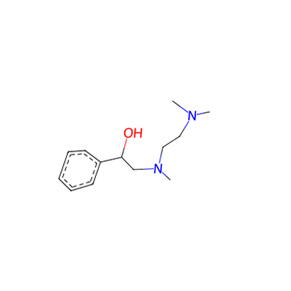 CN(C)CCN(C)CC(O)c1ccccc1